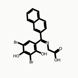 O=C(O)CN=C(c1ccc2ccccc2c1)c1cc(Br)c(O)c(Br)c1O